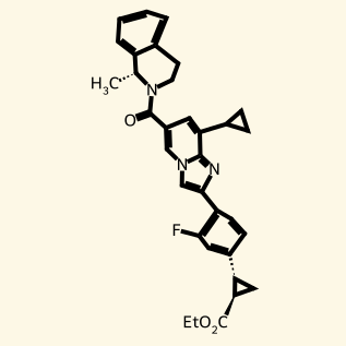 CCOC(=O)[C@@H]1C[C@H]1c1ccc(-c2cn3cc(C(=O)N4CCc5ccccc5[C@H]4C)cc(C4CC4)c3n2)c(F)c1